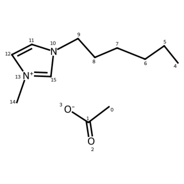 CC(=O)[O-].CCCCCCn1cc[n+](C)c1